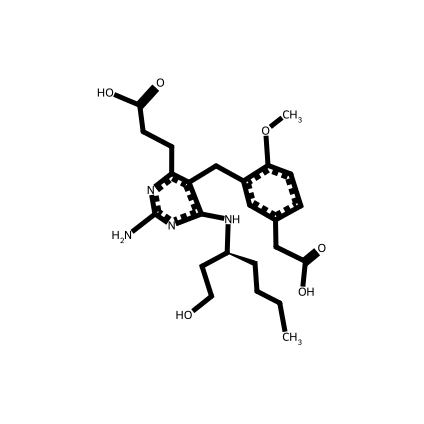 CCCC[C@@H](CCO)Nc1nc(N)nc(CCC(=O)O)c1Cc1cc(CC(=O)O)ccc1OC